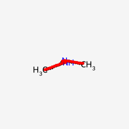 CCCCCCCCCCCCCCCCCCc1ccc2nc(CCCCCCCCCCCCCCCCCC)[nH]c2c1